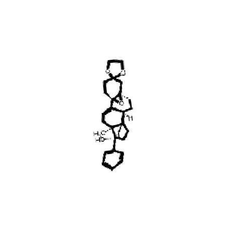 C[C@]12CC=C3[C@@H](CC[C@@]45CC6(CC[C@@]34O5)OCCO6)[C@@H]1CC[C@@]2(O)c1ccccc1